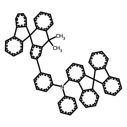 CC1(C)c2ccccc2C2(c3ccccc3-c3ccccc32)c2ccc(-c3cccc(N(c4ccccc4)c4cccc5c4-c4ccccc4C54c5ccccc5-c5ccccc54)c3)cc21